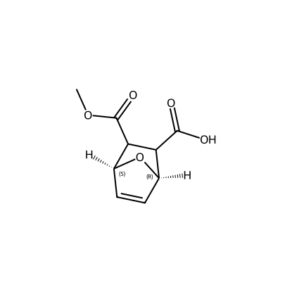 COC(=O)C1C(C(=O)O)[C@H]2C=C[C@@H]1O2